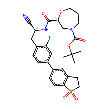 CC(C)(C)OC(=O)N1CCCO[C@H](C(=O)N[C@H](C#N)Cc2ccc(-c3ccc4c(c3)CCS4(=O)=O)cc2F)C1